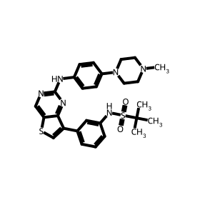 CN1CCN(c2ccc(Nc3ncc4scc(-c5cccc(NS(=O)(=O)C(C)(C)C)c5)c4n3)cc2)CC1